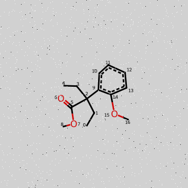 CCC(CC)(C(=O)OC)c1ccccc1OC